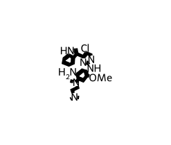 COc1cc(N(C)CCN(C)C)c(N)cc1Nc1ncc(Cl)c(-c2c[nH]c3ccccc23)n1